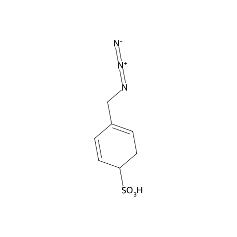 [N-]=[N+]=NCC1=CCC(S(=O)(=O)O)C=C1